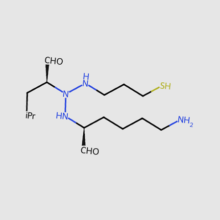 CC(C)C[C@@H](C=O)N(NCCCS)N[C@H](C=O)CCCCN